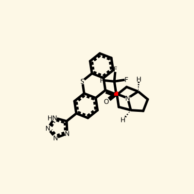 O=C(N1[C@@H]2CC[C@H]1C/C(=C1/c3ccccc3Sc3cc(-c4nnn[nH]4)ccc31)C2)C(F)(F)F